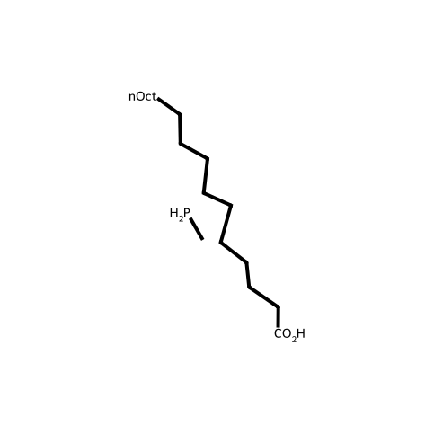 CCCCCCCCCCCCCCCCCC(=O)O.CP